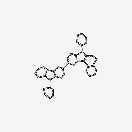 c1ccc(-n2c3ccccc3c3cc(-c4ccc5c(c4)c4c6ncccc6ccc4n5-c4ccccc4)ccc32)cc1